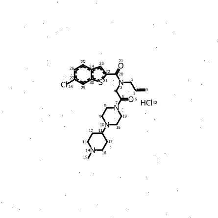 C=CCN(CC(=O)N1CCN(C2CCN(C)CC2)CC1)C(=O)c1cc2ccc(Cl)cc2s1.Cl